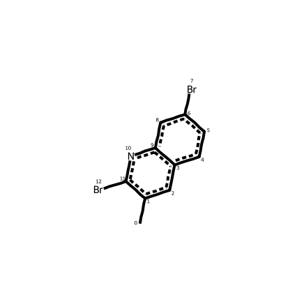 Cc1cc2ccc(Br)cc2nc1Br